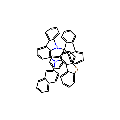 c1ccc(C2(n3c4ccccc4c4cccc(N(c5ccc6ccccc6c5)c5cccc6sc7ccccc7c56)c43)c3ccccc3-c3ccccc32)cc1